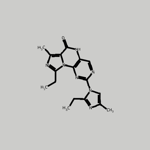 CCc1nc(C)cn1-c1ncc2[nH]c(=O)c3c(C)nc(CC)n3c2n1